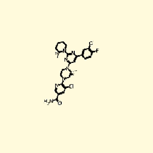 C[C@@H]1CN(c2ncc(C(N)=O)cc2Cl)CCN1c1cc(-c2ccc(F)c(Cl)c2)nc(N2CCCC[C@@H]2C)n1